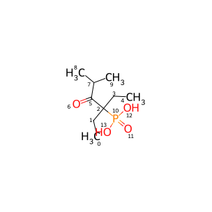 CCC(CC)(C(=O)C(C)C)P(=O)(O)O